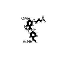 COc1cc2ncnc(Nc3ccc([C@@H](C)NC(C)=O)cc3)c2cc1OCCCN(C)C